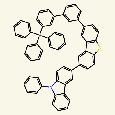 c1ccc(-n2c3ccccc3c3cc(-c4ccc5sc6ccc(-c7cccc(-c8cccc([Si](c9ccccc9)(c9ccccc9)c9ccccc9)c8)c7)cc6c5c4)ccc32)cc1